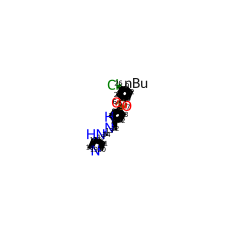 CCCCc1ccc(S(=O)(=O)c2ccc(CNCNc3ccncc3)cc2)cc1Cl